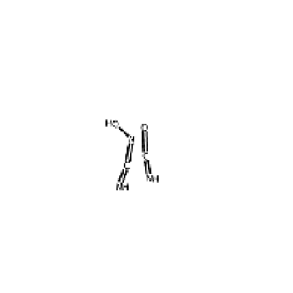 N=C=NO.N=C=O